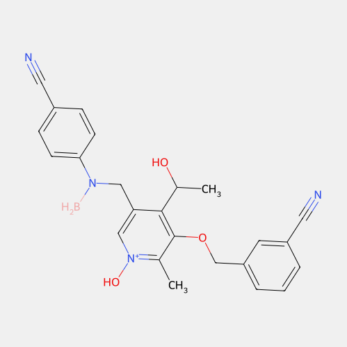 BN(Cc1c[n+](O)c(C)c(OCc2cccc(C#N)c2)c1C(C)O)c1ccc(C#N)cc1